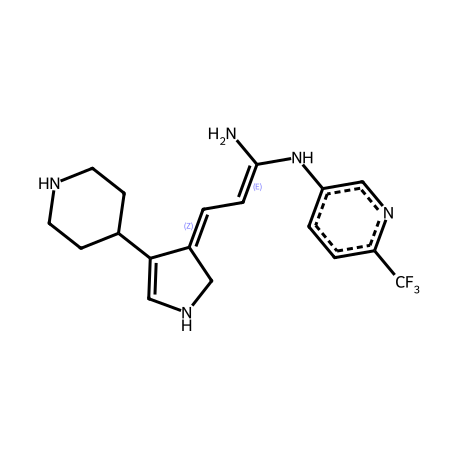 N/C(=C\C=C1/CNC=C1C1CCNCC1)Nc1ccc(C(F)(F)F)nc1